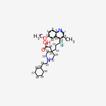 COc1ccc2ncc(C)c([C@H](F)CCC3(CC(=O)O)CCN(CCC4CCCCC4)CC3)c2c1